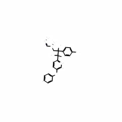 N/N=C\N(N)CC(O)(c1ccc(F)cc1)C(F)(F)c1ccc(Oc2ccccc2)cn1